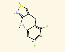 Nc1nscc1Cc1ccc(F)cc1F